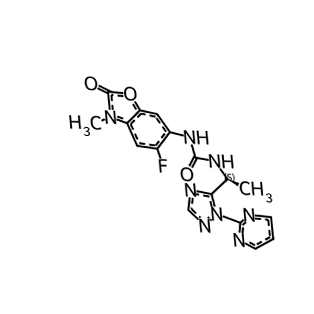 C[C@H](NC(=O)Nc1cc2oc(=O)n(C)c2cc1F)c1ncnn1-c1ncccn1